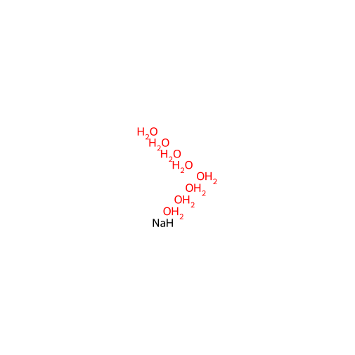 O.O.O.O.O.O.O.O.[NaH]